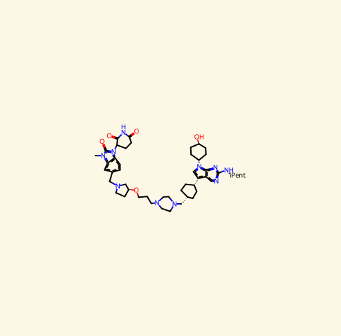 CCC[C@H](C)Nc1ncc2c(n1)n([C@H]1CC[C@H](O)CC1)cc2[C@H]1CC[C@@H](CN2CCN(CCCO[C@H]3CCN(Cc4ccc5c(c4)n(C)c(=O)n5C4CCC(=O)NC4=O)C3)CC2)CC1